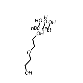 CCCCO.CCCO.CCO.OCCOCCO